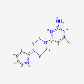 Cc1cc(N2CCN(c3ccccn3)CC2)nc(N)n1